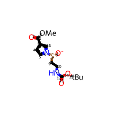 COC(=O)c1ccn([S+]([O-])CCNC(=O)OC(C)(C)C)c1